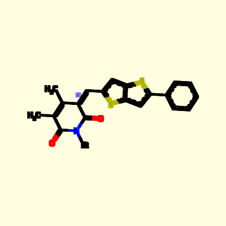 CCN1C(=O)C(C)=C(C)/C(=C/c2cc3sc(-c4ccccc4)cc3s2)C1=O